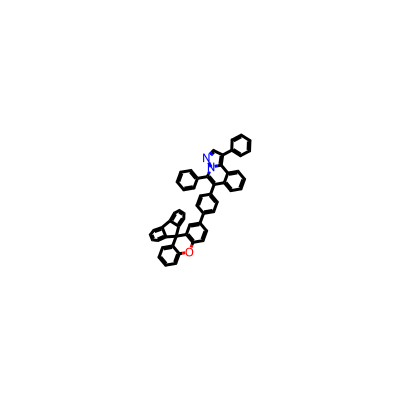 c1ccc(-c2cnn3c(-c4ccccc4)c(-c4ccc(-c5ccc6c(c5)C5(c7ccccc7O6)c6ccccc6-c6ccccc65)cc4)c4ccccc4c23)cc1